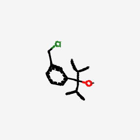 CC(C)C([O])(c1cccc(CCl)c1)C(C)C